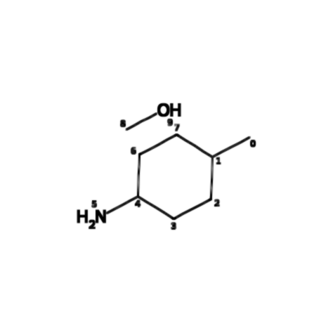 CC1CCC(N)CC1.CO